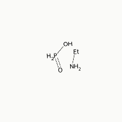 CCN.O=[PH2]O